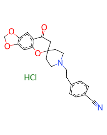 Cl.N#Cc1ccc(CCN2CCC3(CC2)CC(=O)c2cc4c(cc2O3)OCO4)cc1